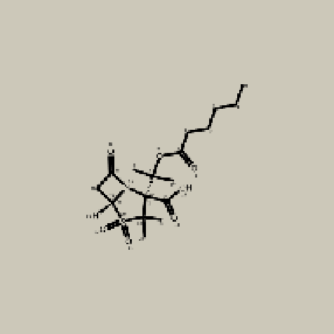 CCCCCC(=O)OC(C)(C)[C@@]1(C(=O)O)N2C(=O)C[C@H]2S(=O)(=O)C1(C)C